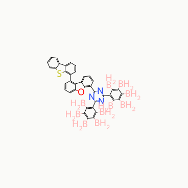 Bc1c(B)c(B)c(-c2nc(-c3c(B)c(B)c(B)c(B)c3B)nc(-c3cccc4c3oc3cccc(-c5cccc6c5sc5ccccc56)c34)n2)c(B)c1B